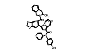 C[C@@H]1Cc2ccccc2CN1C(=O)c1cc2c(cc1-c1cc(C(=O)N(c3ccncc3)c3ccc(O)cc3)c3ccccn13)OCO2.Cl